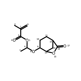 C=C(C)C(=O)OC(C)OC1CCC2CC1OC2=O